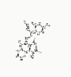 CNC(=O)C(=NOC)c1ccccc1C(C)ON=CC(=NOC)c1ccc(F)cc1C